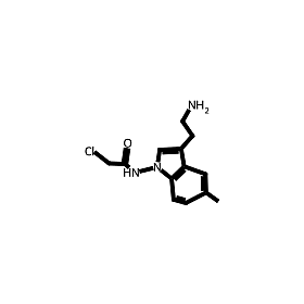 Cc1ccc2c(c1)c(CCN)cn2NC(=O)CCl